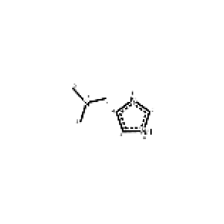 C[Si](C)C.c1c[nH]cn1